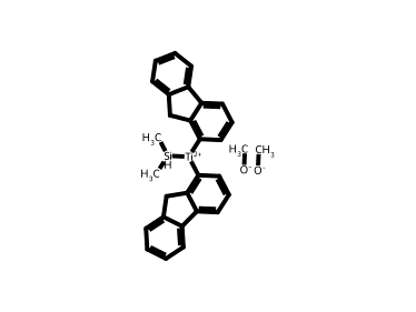 C[O-].C[O-].C[SiH](C)[Ti+2]([c]1cccc2c1Cc1ccccc1-2)[c]1cccc2c1Cc1ccccc1-2